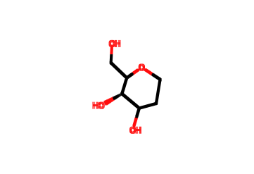 OCC1OCCC(O)[C@H]1O